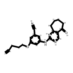 C#CCCCOc1cc(C#N)cc(Nc2ncc3c(n2)CCCCC3=O)c1